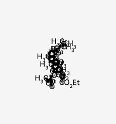 CCOC(=O)[C@@H]1CCN([C@H]2CC[C@@]3(C)C(CC[C@]4(C)[C@@H]3C(=O)C=C3[C@@H]5C[C@@](C)(C(=O)OCC[Si](C)(C)C)CC[C@]5(C)CC[C@]34C)[C@]2(C)C(=O)OCc2oc(=O)oc2C)C1